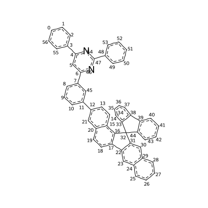 c1ccc(-c2cc(-c3cccc(-c4ccc5c6c(ccc5c4)-c4cc5ccccc5cc4C64c5ccccc5-c5ccccc54)c3)nc(-c3ccccc3)n2)cc1